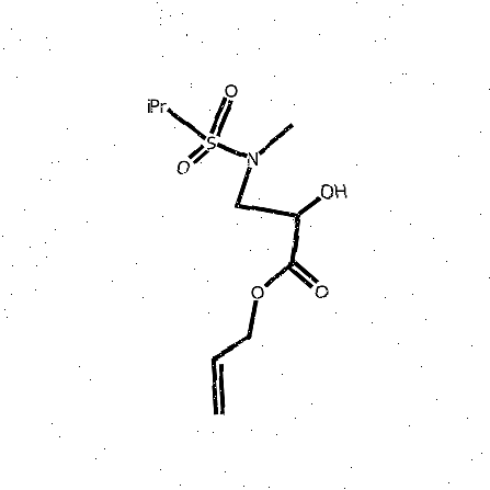 C=CCOC(=O)C(O)CN(C)S(=O)(=O)C(C)C